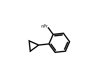 CCCc1cc[c]cc1C1CC1